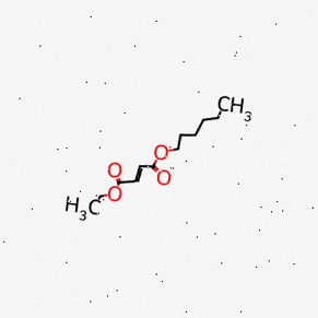 CCCCCCOC(=O)C=CC(=O)OCC